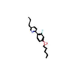 CCCCCOc1ccc(-c2ccc(CCC)cn2)c(F)c1